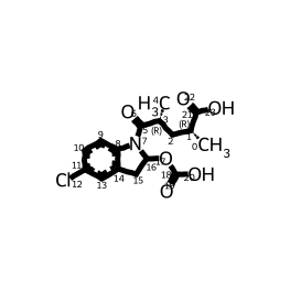 C[C@H](C[C@@H](C)C(=O)N1c2ccc(Cl)cc2CC1OC(=O)O)C(=O)O